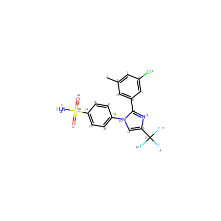 Cc1cc(Cl)cc(-c2nc(C(F)(F)F)cn2-c2ccc(S(N)(=O)=O)cc2)c1